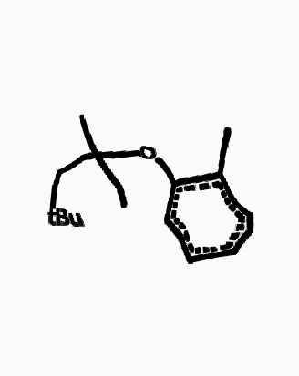 Cc1ccccc1OC(C)(C)CC(C)(C)C